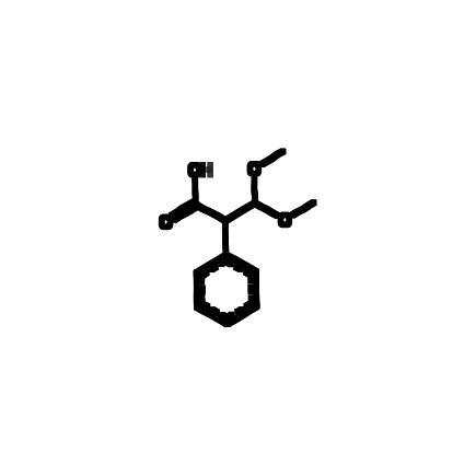 COC(OC)C(C(=O)O)c1ccccc1